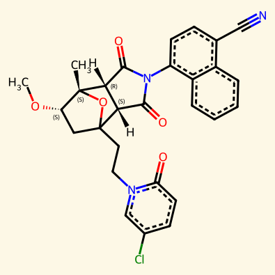 CO[C@H]1CC2(CCn3cc(Cl)ccc3=O)O[C@@]1(C)[C@@H]1C(=O)N(c3ccc(C#N)c4ccccc34)C(=O)[C@@H]12